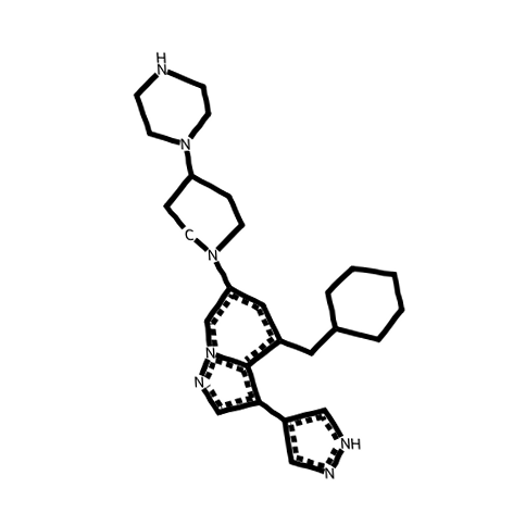 c1n[nH]cc1-c1cnn2cc(N3CCC(N4CCNCC4)CC3)cc(CC3CCCCC3)c12